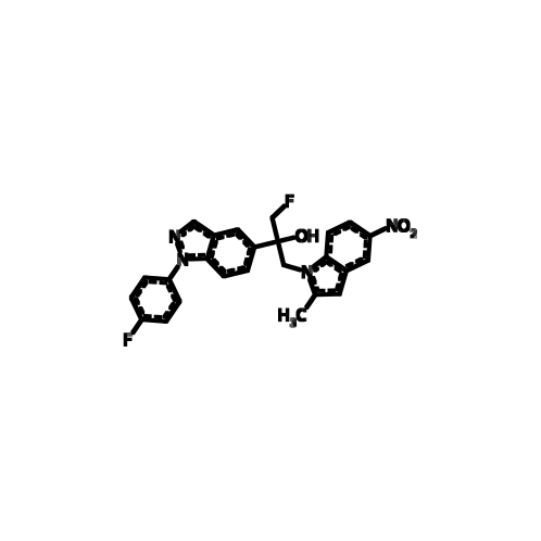 Cc1cc2cc([N+](=O)[O-])ccc2n1CC(O)(CF)c1ccc2c(cnn2-c2ccc(F)cc2)c1